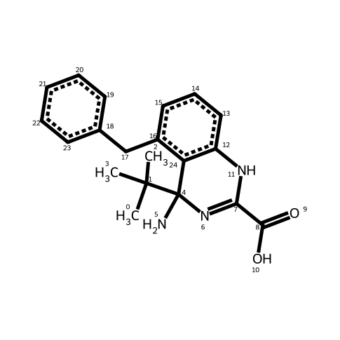 CC(C)(C)C1(N)N=C(C(=O)O)Nc2cccc(Cc3ccccc3)c21